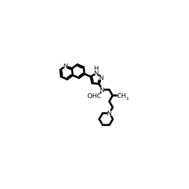 CC(CCN1CCCCC1)CN(C=O)c1cc(-c2ccc3ncccc3c2)[nH]n1